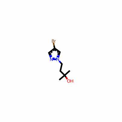 CC(C)(O)CCn1cc(Br)cn1